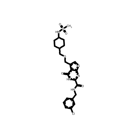 CS(=O)(=O)NC1CCC(COCc2csc3nc(C(=O)NCc4cccc(Cl)c4)[nH]c(=O)c23)CC1